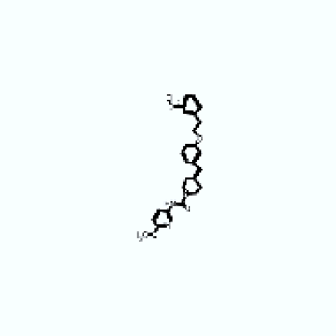 COc1cccc(CCOc2cccc(C=C3CCN(C(=O)Nc4ccc(OC)nc4)CC3)c2)c1